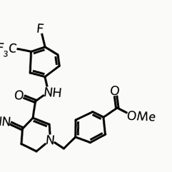 COC(=O)c1ccc(CN2C=C(C(=O)Nc3ccc(F)c(C(F)(F)F)c3)C(=N)CC2)cc1